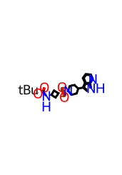 CC(C)(C)OC(=O)N[C@H]1C[C@H](S(=O)(=O)N2CCC(c3c[nH]c4ncccc34)CC2)C1